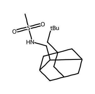 CC(C)(C)CC12CC3CC(C1)C(CNS(C)(=O)=O)C(C3)C2